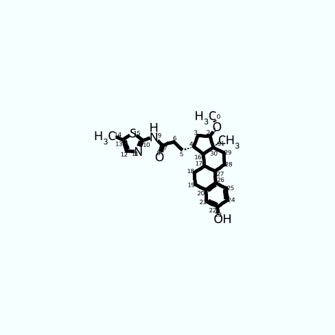 COC1C[C@@H](CCC(=O)Nc2ncc(C)s2)C2C3CCc4cc(O)ccc4C3CC[C@]12C